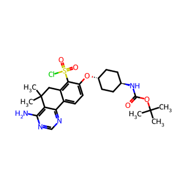 CC(C)(C)OC(=O)N[C@H]1CC[C@H](Oc2ccc3c(c2S(=O)(=O)Cl)CC(C)(C)c2c(N)ncnc2-3)CC1